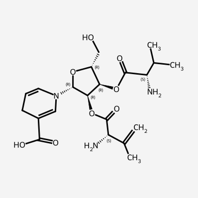 C=C(C)[C@H](N)C(=O)O[C@@H]1[C@H](OC(=O)[C@@H](N)C(C)C)[C@@H](CO)O[C@H]1N1C=CCC(C(=O)O)=C1